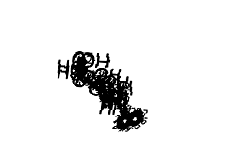 O=P(O)(O)CP(=O)(O)OCC1OC(n2cnc3c(NCc4cccc5ccccc45)nc(Cl)nc32)C(O)C1O